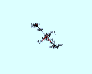 CC(=O)NC1C(O)[C@@H](O)C(CO)O[C@H]1OCCCCC(=O)NCCCNC(=O)CCOCC(COCCC(=O)NCCCN)(COCCC(=O)NCCCN)NC(=O)CCCCCCCCCCC(=O)NCCCCCCN1CCN(C)/C1=N\P(=O)(OC(C)C)OC(C)(C)C